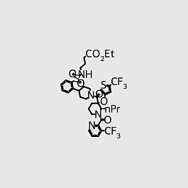 CCC[C@H]1N(C(=O)c2ncccc2C(F)(F)F)CCC[C@@]1(Oc1csc(C(F)(F)F)c1)C(=O)N1CCC(c2ccccc2S(=O)(=O)NCCCC(=O)OCC)CC1